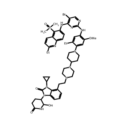 CCc1ccc2c(P(C)(C)=O)c(Nc3nc(Nc4cc(CC)c(N5CCC(N6CCN(CCc7cccc8c7n(C7CC7)c(=O)n8C7CCC(=O)NC7O)CC6)CC5)cc4OC)ncc3Br)ccc2n1